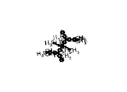 CCCCCCc1cc(-c2ccc(N(c3ccc(-c4ccc(C(C)(C)C)cc4)cc3)c3ccc(-c4ccccc4)c(C)c3)cc2C)c(CCCCCC)cc1-c1ccc(N(c2ccc(-c3ccc(C(C)(C)C)cc3)cc2)c2ccc(-c3ccccc3)c(C)c2)cc1C